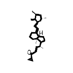 C=C1/C(=C/C=C2\CCC[C@]3(C)C([C@H](C)/C=C/C(=O)C4CC4)CC[C@@H]23)C[C@@H](C)C[C@@H]1C